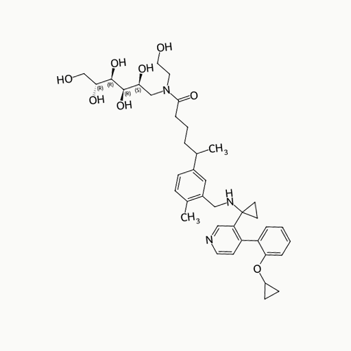 Cc1ccc(C(C)CCCC(=O)N(CCO)C[C@H](O)[C@@H](O)[C@H](O)[C@H](O)CO)cc1CNC1(c2cnccc2-c2ccccc2OC2CC2)CC1